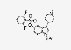 CCCn1cc(C2CCN(C)CC2)c2cc(OS(=O)(=O)c3c(F)cccc3F)ccc21